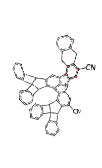 N#Cc1cc2c(c3c1C1c4ccccc4C3c3ccccc31)c1cc3c(c4c5c6c(c(C#N)cc5n2c14)C1c2ccccc2C12c1ccccc1C62)C1c2ccccc2C12c1ccccc1C32